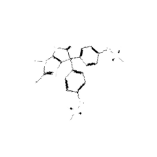 Cn1c(Cl)nc2c1NC(=O)C2(c1ccc(NS(C)(=O)=O)cc1)c1ccc(NS(C)(=O)=O)cc1